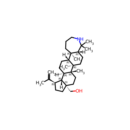 C=C(C)[C@@H]1CC[C@]2(CO)CC[C@]3(C)[C@H](CC[C@@H]4[C@@]5(C)CCCNC(C)(C)[C@@H]5CC[C@]43C)[C@@H]12